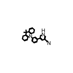 CC1(C)C2=C(CCC=C2)N(c2cccc(C3=CC(C#N)=CNC3)c2)C2=C1CCC=C2